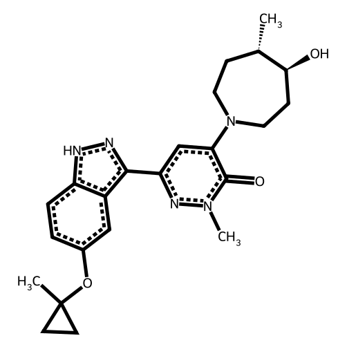 C[C@H]1CCN(c2cc(-c3n[nH]c4ccc(OC5(C)CC5)cc34)nn(C)c2=O)CC[C@@H]1O